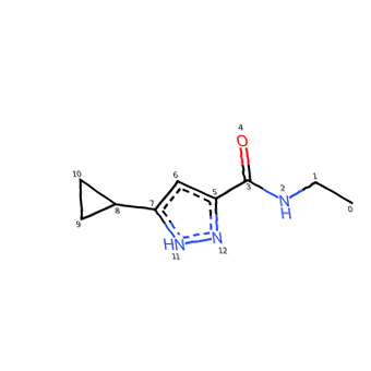 CCNC(=O)c1cc(C2CC2)[nH]n1